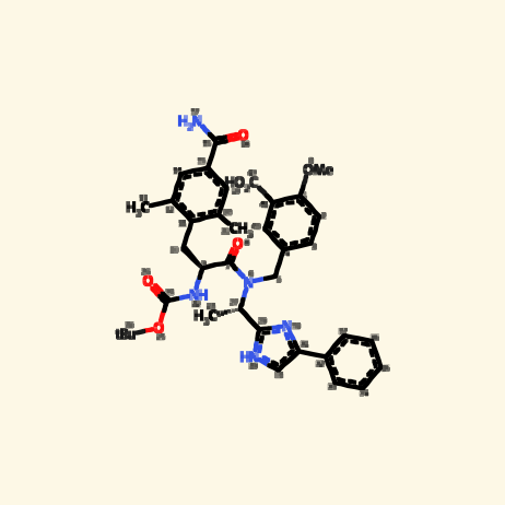 COc1ccc(CN(C(=O)[C@H](Cc2c(C)cc(C(N)=O)cc2C)NC(=O)OC(C)(C)C)[C@@H](C)c2nc(-c3ccccc3)c[nH]2)cc1C(=O)O